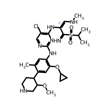 CN/C=C(/Nc1nc(Nc2cc(C)c(C3CCNCC3OC)cc2OC2CC2)ncc1Cl)C(=N)S(=O)(=O)C(C)C